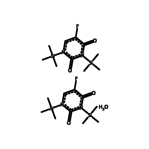 C[Si](C)(C)n1cc(F)c(=O)n([Si](C)(C)C)c1=O.C[Si](C)(C)n1cc(F)c(=O)n([Si](C)(C)C)c1=O.O